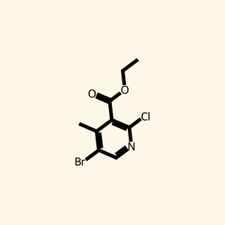 CCOC(=O)c1c(Cl)ncc(Br)c1C